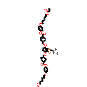 C=CC(=O)OCCCCCCOc1ccc(OC(=O)C2CCC(COc3ccc(OCC4CCC(C(=O)Oc5ccc(OCCCCCCOC(=O)C=C)cc5)CC4)c4c3SC(=C(C#N)C#N)S4)CC2)cc1